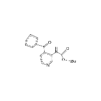 CC(C)(C)OC(=O)Nc1cnccc1C(=O)c1ccccc1